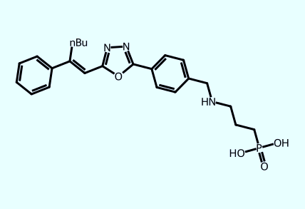 CCCC/C(=C\c1nnc(-c2ccc(CNCCCP(=O)(O)O)cc2)o1)c1ccccc1